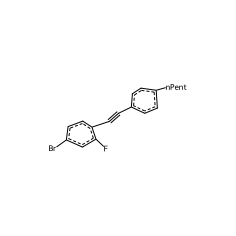 CCCCCc1ccc(C#Cc2ccc(Br)cc2F)cc1